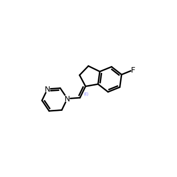 Fc1ccc2c(c1)CC/C2=C\N1C=NC=CC1